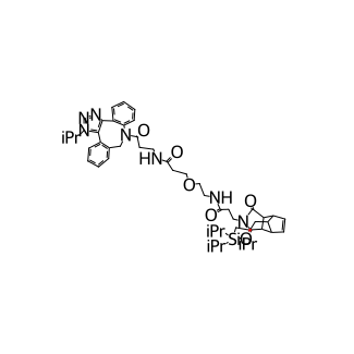 CC(C)n1nnc2c1-c1ccccc1CN(C(=O)CCNC(=O)CCOCCNC(=O)CCN1C(=O)C3C4C=CC(C4CCC[Si](C(C)C)(C(C)C)C(C)C)C3C1=O)c1ccccc1-2